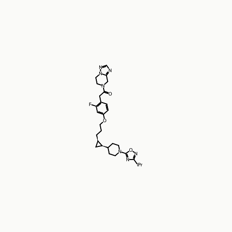 CC(C)c1noc(N2CCC([C@H]3C[C@H]3CCCOc3ccc(CC(=O)N4CCn5ncnc5C4)c(F)c3)CC2)n1